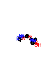 Cc1cncc(NC(=O)Nc2ccc(OC3CN(c4cccc(C(=O)O)c4-n4cccc4)C3)cc2)c1